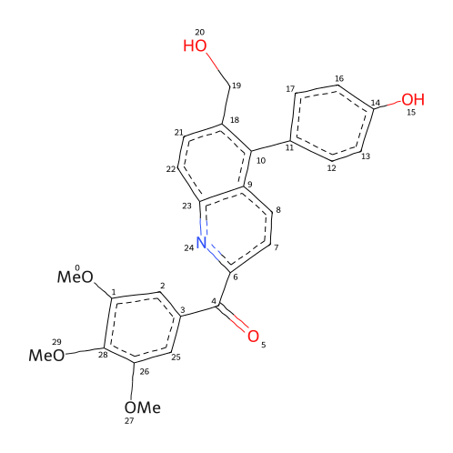 COc1cc(C(=O)c2ccc3c(-c4ccc(O)cc4)c(CO)ccc3n2)cc(OC)c1OC